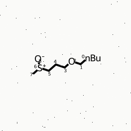 C[CH]CCCOCCC[S+](C)[O-]